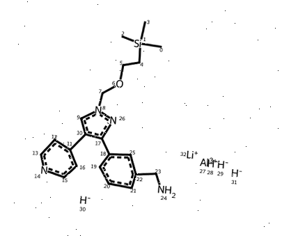 C[Si](C)(C)CCOCn1cc(-c2ccncc2)c(-c2cccc(CN)c2)n1.[Al+3].[H-].[H-].[H-].[H-].[Li+]